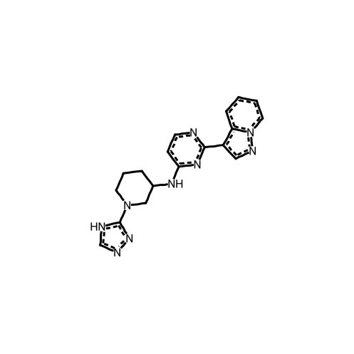 c1ccn2ncc(-c3nccc(NC4CCCN(c5nnc[nH]5)C4)n3)c2c1